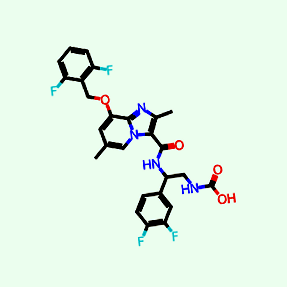 Cc1cc(OCc2c(F)cccc2F)c2nc(C)c(C(=O)NC(CNC(=O)O)c3ccc(F)c(F)c3)n2c1